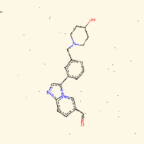 O=Cc1ccc2ncc(-c3cccc(CN4CCC(O)CC4)c3)n2c1